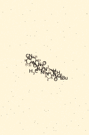 CC#CCn1c(N2CCC[C@@H](NC(=O)OC(C)(C)C)C2)nc2c1c(=O)n(Cc1ccc3c(C#N)cccc3n1)c(=O)n2C